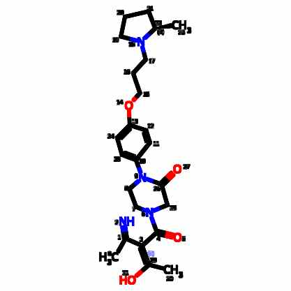 CC(=N)/C(C(=O)N1CCN(c2ccc(OCCCN3CCC[C@H]3C)cc2)C(=O)C1)=C(/C)O